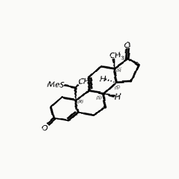 CSC(C)[C@]12CCC(=O)C=C1CC[C@@H]1C2=CC[C@]2(C)C(=O)CC[C@@H]12